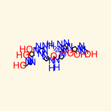 Nc1nc(N2CCC(NC(=O)N[C@H]3CCN(c4nc(N)c5ncn([C@@H]6C[C@@H](n7ncc(CO)n7)C(O)[C@@H]6O)c5n4)C3)C2)nc2c1ncn2C1CC(n2ncc(CO)n2)C(O)C1O